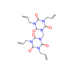 C=CCn1c(=O)n(CC=C)c(=O)n(Cn2c(=O)n(CC=C)c(=O)n(CC=C)c2=O)c1=O